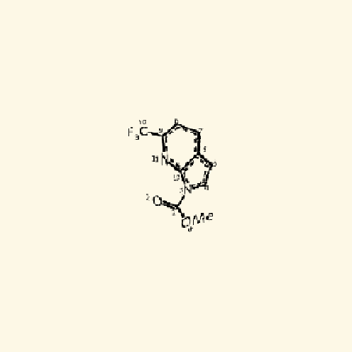 COC(=O)n1ccc2ccc(C(F)(F)F)nc21